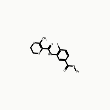 CC1=C(C(=O)Nc2cc(C(=O)OC(C)C)ccc2F)SCCO1